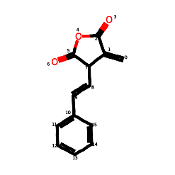 C=C1C(=O)OC(=O)C1C=Cc1ccccc1